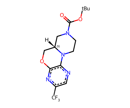 CC(C)(C)OC(=O)N1CCN2c3ncc(C(F)(F)F)nc3OC[C@@H]2C1